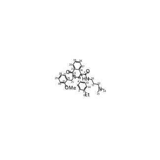 CCc1ccc([C@H]2[C@H](C(=O)NCCCN(C)C)c3ccccc3C(=O)N2Cc2ccccc2OC)cc1